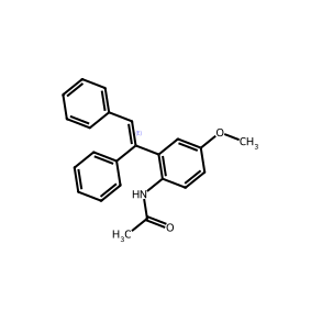 COc1ccc(NC(C)=O)c(/C(=C/c2ccccc2)c2ccccc2)c1